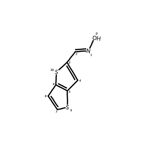 O/N=C/c1cc2sccc2s1